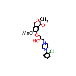 COc1cc2c(cc1OCC(O)CN1CCN(c3ccccc3Cl)CC1)C(=O)C(C)OC2